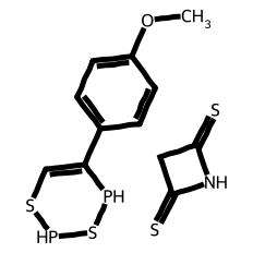 COc1ccc(-c2cs[pH]s[pH]2)cc1.S=C1CC(=S)N1